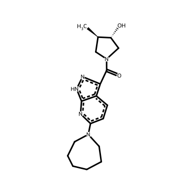 C[C@@H]1CN(C(=O)c2n[nH]c3nc(N4CCCCCC4)ccc23)C[C@H]1O